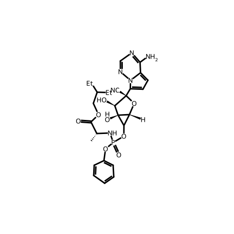 CCC(CC)COC(=O)[C@@H](C)NP(=O)(Oc1ccccc1)OC1[C@H]2O[C@@](C#N)(c3ccc4c(N)ncnn34)[C@H](O)[C@@]12O